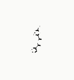 Nc1n[nH]c(C(=O)OC(=O)c2csnn2)n1